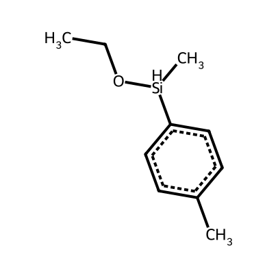 CCO[SiH](C)c1ccc(C)cc1